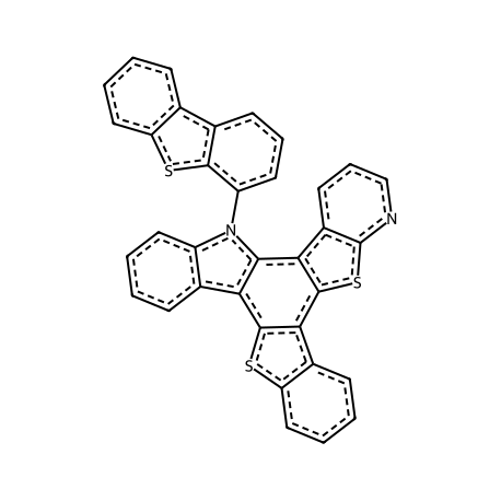 c1ccc2c(c1)sc1c(-n3c4ccccc4c4c5sc6ccccc6c5c5sc6ncccc6c5c43)cccc12